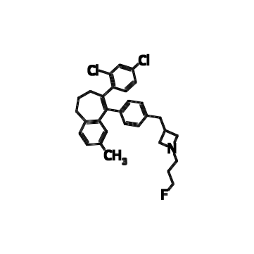 Cc1ccc2c(c1)C(c1ccc(CC3CN(CCCF)C3)cc1)=C(c1ccc(Cl)cc1Cl)CCC2